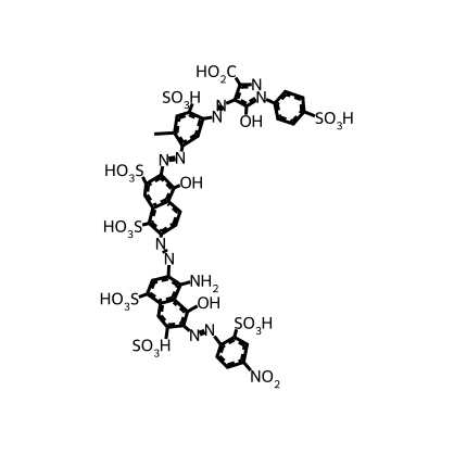 Cc1cc(S(=O)(=O)O)c(/N=N/c2c(C(=O)O)nn(-c3ccc(S(=O)(=O)O)cc3)c2O)cc1N=Nc1c(S(=O)(=O)O)cc2c(S(=O)(=O)O)c(N=Nc3cc(S(=O)(=O)O)c4cc(S(=O)(=O)O)c(N=Nc5ccc([N+](=O)[O-])cc5S(=O)(=O)O)c(O)c4c3N)ccc2c1O